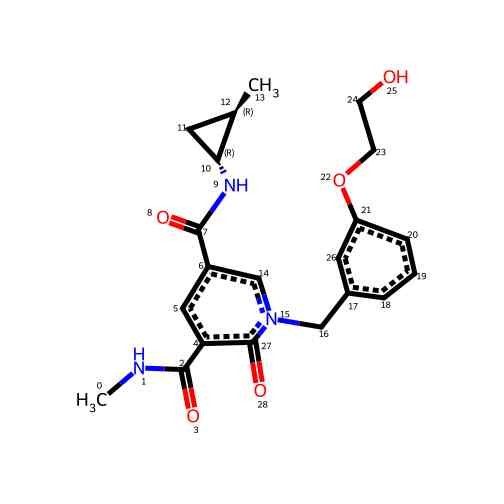 CNC(=O)c1cc(C(=O)N[C@@H]2C[C@H]2C)cn(Cc2cccc(OCCO)c2)c1=O